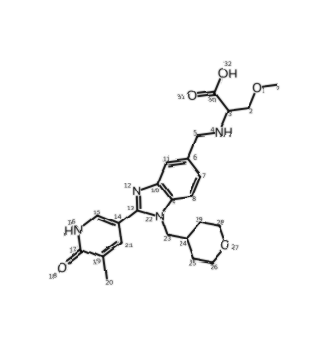 COCC(NCc1ccc2c(c1)nc(-c1c[nH]c(=O)c(C)c1)n2CC1CCOCC1)C(=O)O